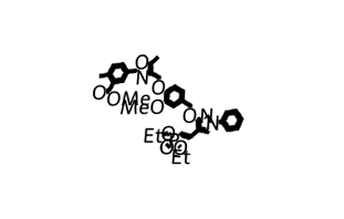 CCOP(=O)(C=Cc1cn(-c2ccccc2)nc1OCc1ccc(OCc2nc(-c3ccc(C)c(C(=O)OC)c3)oc2C)c(OC)c1)OCC